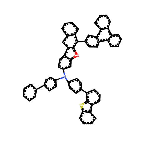 c1ccc(-c2ccc(N(c3ccc(-c4cccc5c4sc4ccccc45)cc3)c3ccc4c(c3)oc3c(-c5ccc6c7ccccc7c7ccccc7c6c5)c5ccccc5cc34)cc2)cc1